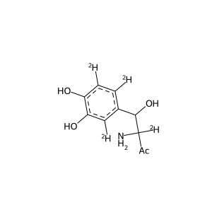 [2H]c1c([2H])c(C(O)C([2H])(N)C(C)=O)c([2H])c(O)c1O